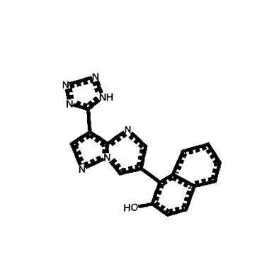 Oc1ccc2ccccc2c1-c1cnc2c(-c3nnn[nH]3)cnn2c1